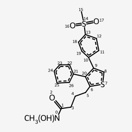 CN(O)C(=O)CCCc1scc(-c2ccc(S(C)(=O)=O)cc2)c1-c1ccccc1